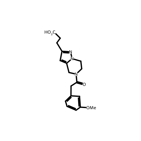 COc1cccc(CC(=O)N2CCn3nc(CCC(=O)O)cc3C2)c1